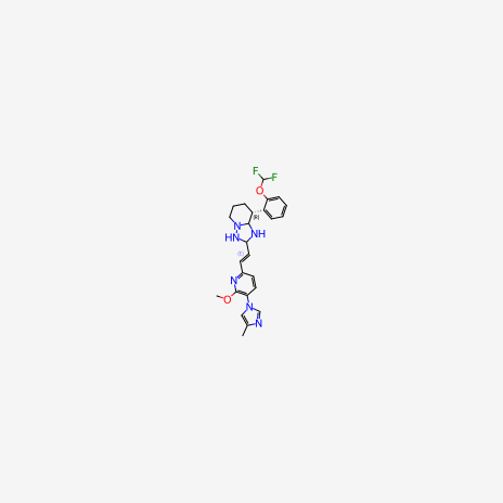 COc1nc(/C=C/C2NC3[C@@H](c4ccccc4OC(F)F)CCCN3N2)ccc1-n1cnc(C)c1